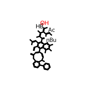 C=Cc1c(C=C(C)C)c(C(=C)\C(C)=C(C)/C(=C(/C)BO)C(/C)=C(/C)C(C)=O)c2c(CCCC)c(C)c(C)c(C)c2c1C1=C/C(=C)Cc2cccc(-c3ccccc3)c2C(C)/C=C\1